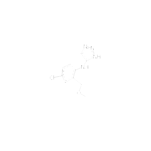 COCc1cc(Cl)ccc1Nc1cnn[nH]1